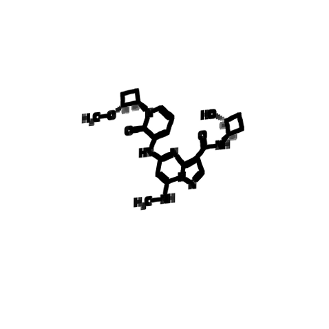 CNc1cc(Nc2cccn([C@@H]3CC[C@H]3OC)c2=O)nc2c(C(=O)N[C@@H]3CC[C@H]3O)cnn12